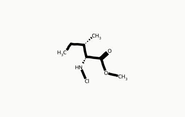 CC[C@H](C)[C@@H](NCl)C(=O)OC